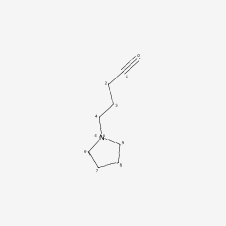 [C]#CCCCN1CCCC1